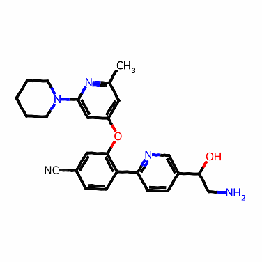 Cc1cc(Oc2cc(C#N)ccc2-c2ccc(C(O)CN)cn2)cc(N2CCCCC2)n1